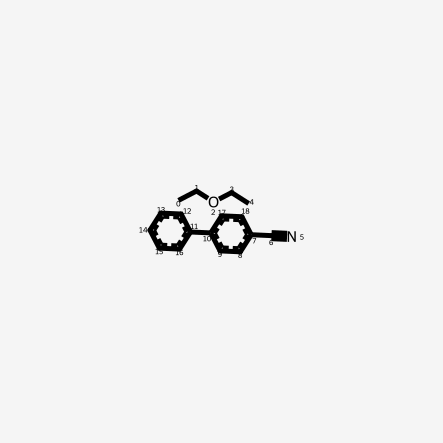 CCOCC.N#Cc1ccc(-c2ccccc2)cc1